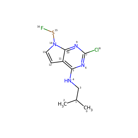 CC(C)CNc1nc(Cl)nc2c1ccn2SF